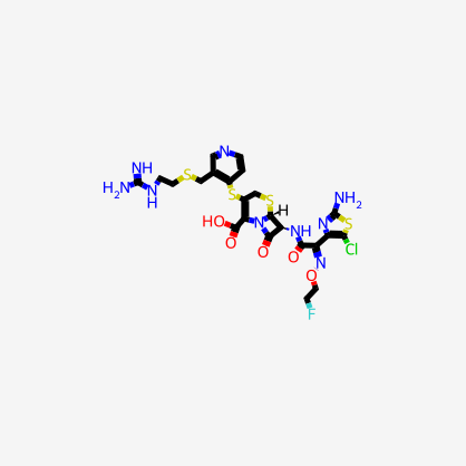 N=C(N)NCCSCc1cnccc1SC1=C(C(=O)O)N2C(=O)[C@@H](NC(=O)/C(=N\OCCF)c3nc(N)sc3Cl)[C@@H]2SC1